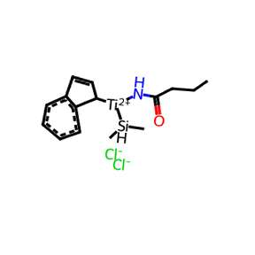 CCCC(=O)[NH][Ti+2]([CH]1C=Cc2ccccc21)[SiH](C)C.[Cl-].[Cl-]